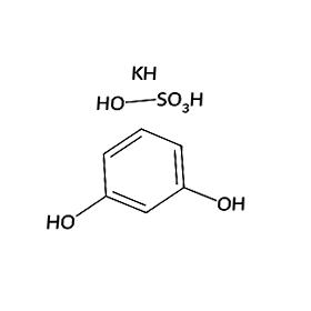 O=S(=O)(O)O.Oc1cccc(O)c1.[KH]